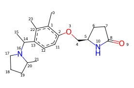 Cc1c(OC[C@H]2CCC(=O)N2)ccc(C(C)N2CCCC2C)c1C